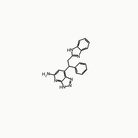 Nc1cc(C(Cc2nc3ccccc3[nH]2)c2ccccc2)c2nn[nH]c2n1